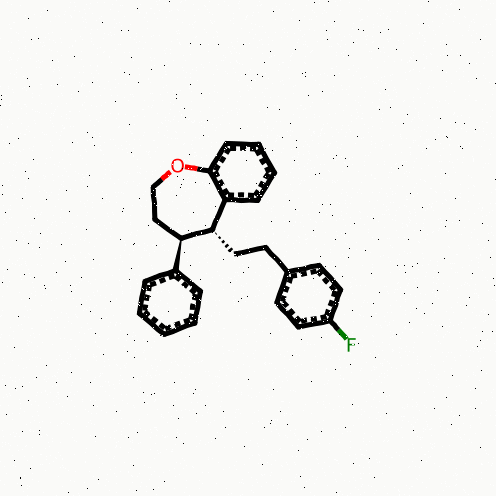 Fc1ccc(CC[C@H]2c3ccccc3OCC[C@@H]2c2ccccc2)cc1